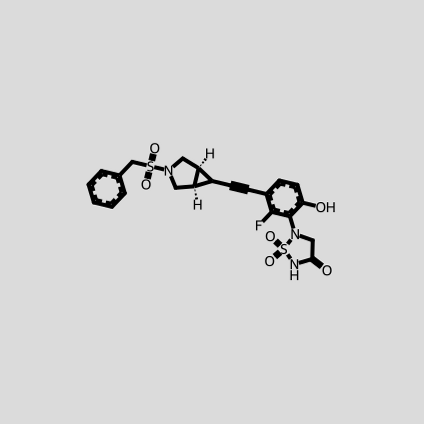 O=C1CN(c2c(O)ccc(C#CC3[C@H]4CN(S(=O)(=O)Cc5ccccc5)C[C@@H]34)c2F)S(=O)(=O)N1